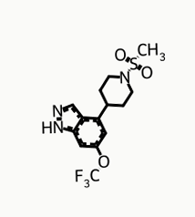 CS(=O)(=O)N1CCC(c2cc(OC(F)(F)F)cc3[nH]ncc23)CC1